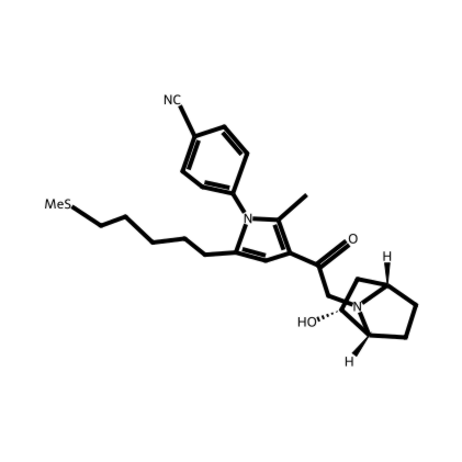 CSCCCCCc1cc(C(=O)CN2[C@H]3CC[C@@H]2[C@H](O)C3)c(C)n1-c1ccc(C#N)cc1